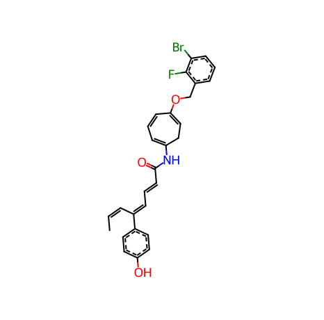 C\C=C/C(=C\C=C\C(=O)NC1=CC=CC(OCc2cccc(Br)c2F)=CC1)c1ccc(O)cc1